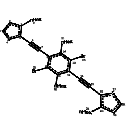 CCCCCCc1ccsc1C#Cc1c(Br)c(CCCCCC)c(C#Cc2sccc2CCCCCC)c(Br)c1CCCCCC